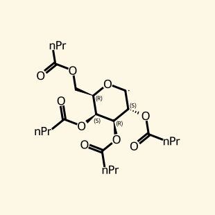 CCCC(=O)OC[C@H]1O[CH][C@H](OC(=O)CCC)[C@@H](OC(=O)CCC)[C@H]1OC(=O)CCC